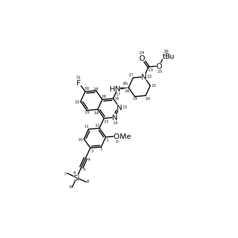 COc1cc(C#C[Si](C)(C)C)ccc1-c1nnc(N[C@@H]2CCCN(C(=O)OC(C)(C)C)C2)c2cc(F)ccc12